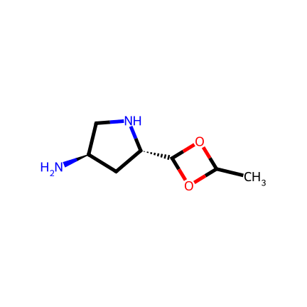 CC1OC([C@@H]2C[C@@H](N)CN2)O1